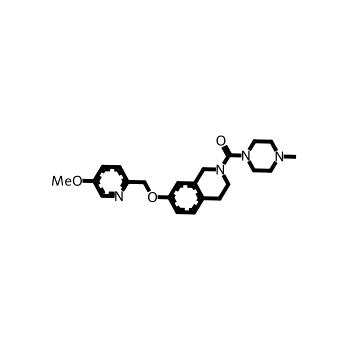 COc1ccc(COc2ccc3c(c2)CN(C(=O)N2CCN(C)CC2)CC3)nc1